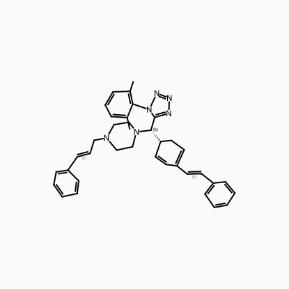 Cc1cccc(C)c1-n1nnnc1[C@H](C1C=CC(/C=C/c2ccccc2)=CC1)N1CCN(C/C=C/c2ccccc2)CC1